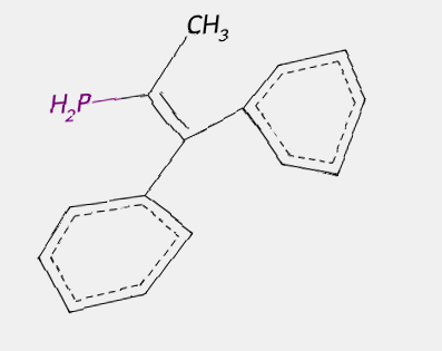 CC(P)=C(c1ccccc1)c1ccccc1